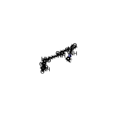 Cc1cccc(/C=N/Nc2cc(N3CCOCC3)nc(OCCc3ccc(NC(=O)CCCCCCC(=O)Nc4ccc5c(c4)CN(C4CCC(=O)NC4=O)C5=O)cc3)n2)c1